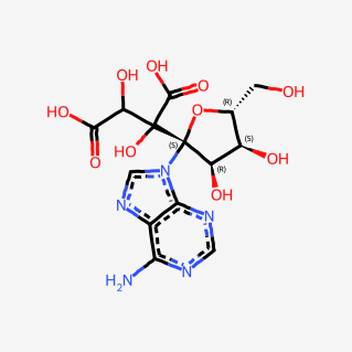 Nc1ncnc2c1ncn2[C@]1(C(O)(C(=O)O)C(O)C(=O)O)O[C@H](CO)[C@@H](O)[C@H]1O